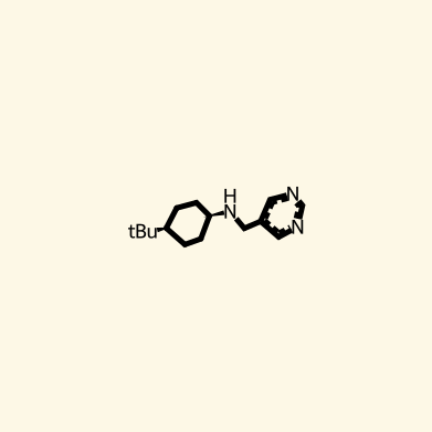 CC(C)(C)[C@H]1CC[C@@H](NCc2cncnc2)CC1